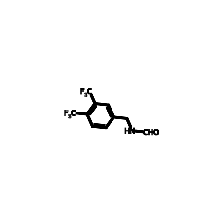 O=CNCc1ccc(C(F)(F)F)c(C(F)(F)F)c1